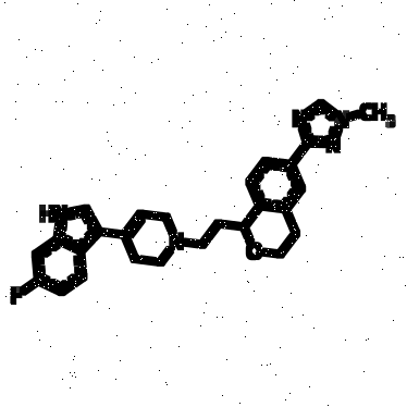 Cn1cnc(-c2ccc3c(c2)CCOC3CCN2CC=C(c3c[nH]c4cc(F)ccc34)CC2)n1